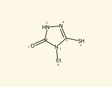 CCn1c(S)n[nH]c1=O